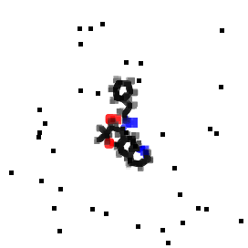 CC1(C)Oc2cc3cccnc3cc2C(NCCc2ccccc2)C1O